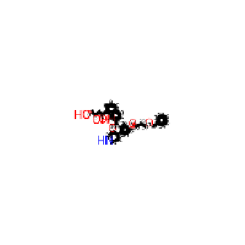 OC[C@@H](O)CC(O)c1cccc2ccc(CO[C@H]3CNCC[C@@H]3c3ccc(OCCCOCc4ccccc4)cc3)cc12